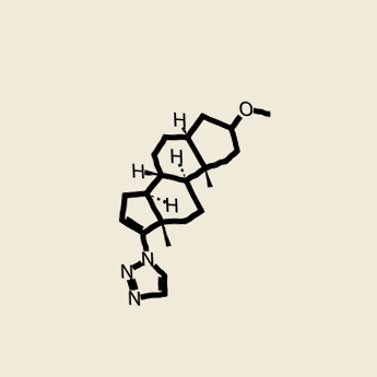 COC1CC[C@@]2(C)[C@@H](CC[C@@H]3[C@@H]2CC[C@]2(C)C(n4ccnn4)=CC[C@@H]32)C1